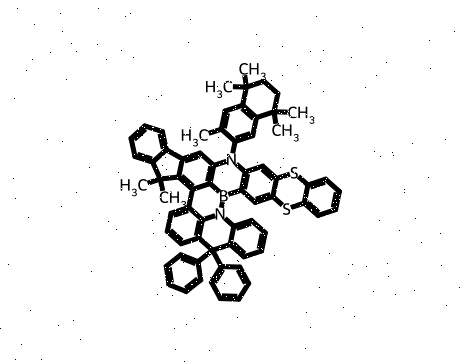 Cc1cc2c(cc1N1c3cc4c(cc3B3c5c1cc1c(c5-c5cccc6c5N3c3ccccc3C6(c3ccccc3)c3ccccc3)C(C)(C)c3ccccc3-1)Sc1ccccc1S4)C(C)(C)CCC2(C)C